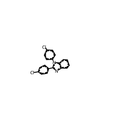 Clc1ccc(-c2nc3ccccc3n2-c2ccc(Cl)cc2)cc1